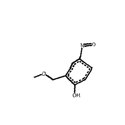 COCc1cc(N=O)ccc1O